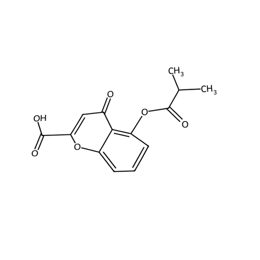 CC(C)C(=O)Oc1cccc2oc(C(=O)O)cc(=O)c12